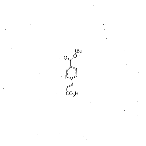 CC(C)(C)OC(=O)c1ccc(/C=C/C(=O)O)nc1